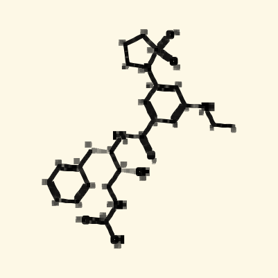 CCNc1cc(C(=O)N[C@@H](Cc2ccccc2)[C@H](O)CNC(=O)O)cc(N2CCCS2(=O)=O)c1